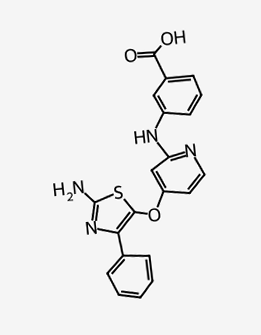 Nc1nc(-c2ccccc2)c(Oc2ccnc(Nc3cccc(C(=O)O)c3)c2)s1